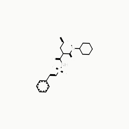 C=CCC(C(=O)NS(=O)(=O)/C=C/c1ccccc1)C(=O)N(CC)C1CCCCC1